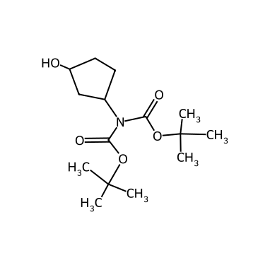 CC(C)(C)OC(=O)N(C(=O)OC(C)(C)C)C1CCC(O)C1